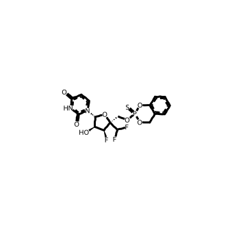 O=c1ccn([C@@H]2O[C@@](COP3(=S)OCc4ccccc4O3)(C(F)F)[C@@H](F)[C@H]2O)c(=O)[nH]1